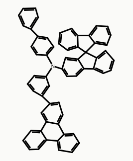 c1ccc(-c2ccc(N(c3cccc(-c4ccc5c6ccccc6c6ccccc6c5c4)c3)c3ccc4c(c3)C3(c5ccccc5-c5ccccc53)c3ccccc3-4)cc2)cc1